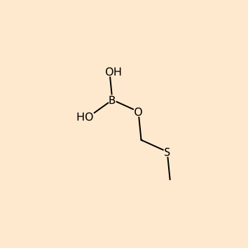 CSCOB(O)O